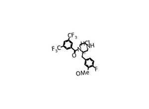 COc1cc(C[C@@H]2CNCCN2C(=O)c2cc(C(F)(F)F)cc(C(F)(F)F)c2)ccc1F.Cl